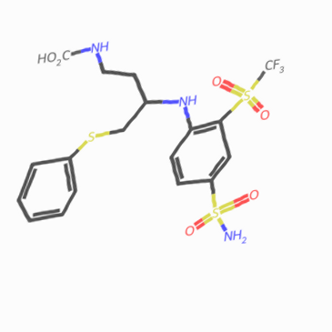 NS(=O)(=O)c1ccc(NC(CCNC(=O)O)CSc2ccccc2)c(S(=O)(=O)C(F)(F)F)c1